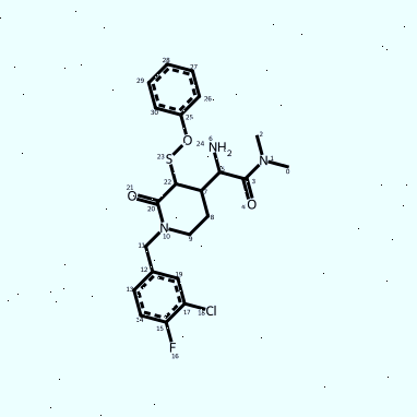 CN(C)C(=O)C(N)C1CCN(Cc2ccc(F)c(Cl)c2)C(=O)C1SOc1ccccc1